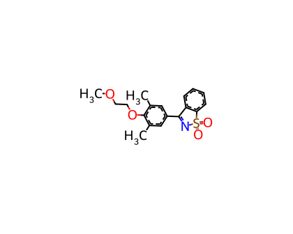 COCCOc1c(C)cc(C2=NS(=O)(=O)c3ccccc32)cc1C